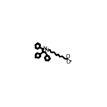 COC(=O)CCC/C=C/CCCn1nc(-c2ccccc2)c(-c2ccccc2)c1-c1ccccc1